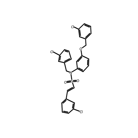 O=S(=O)(C=Cc1cccc(Cl)c1)N(Cc1cccc(Cl)c1)c1cccc(OCc2cccc(Cl)c2)c1